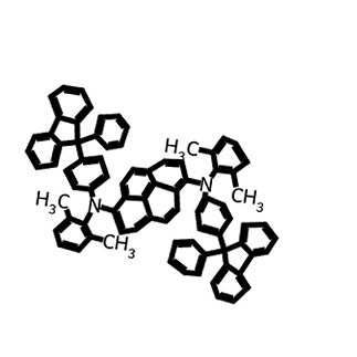 Cc1cccc(C)c1N(c1ccc(C2(c3ccccc3)c3ccccc3-c3ccccc32)cc1)c1ccc2ccc3c(N(c4ccc(C5(c6ccccc6)c6ccccc6-c6ccccc65)cc4)c4c(C)cccc4C)ccc4ccc1c2c43